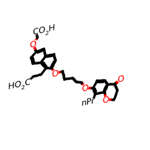 CCCc1c(OCCCCCOc2ccc3cc(OCC(=O)O)ccc3c2CCC(=O)O)ccc2c1OCCC2=O